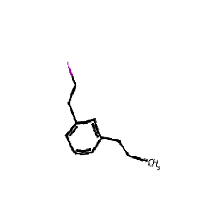 CCCc1cccc(CCI)c1